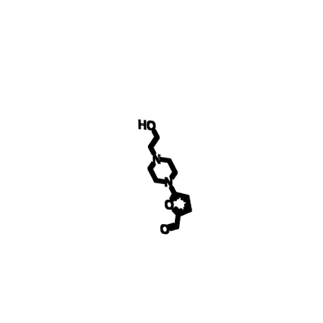 O=Cc1ccc(N2CCN(CCO)CC2)o1